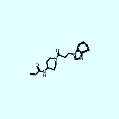 C=CC(=O)NC1CCN(C(=O)CCn2cnc3ccccc32)CC1